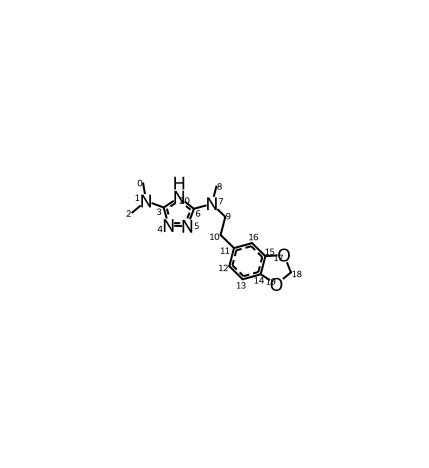 CN(C)c1nnc(N(C)CCc2ccc3c(c2)OCO3)[nH]1